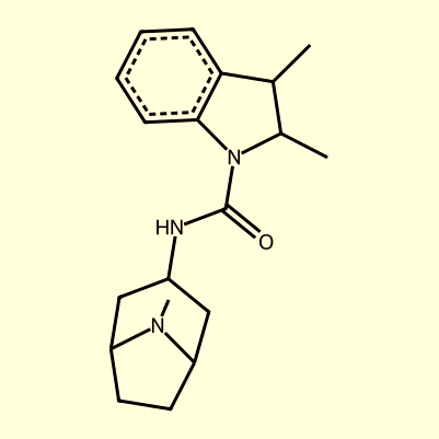 CC1c2ccccc2N(C(=O)NC2CC3CCC(C2)N3C)C1C